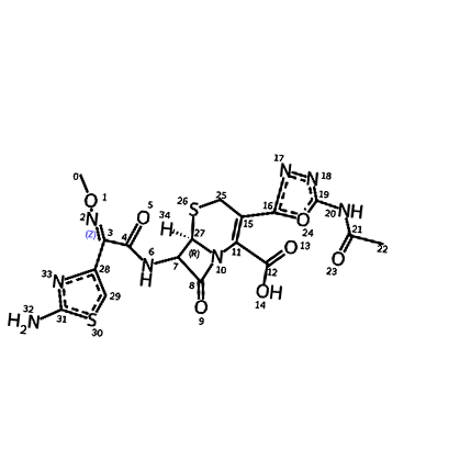 CO/N=C(\C(=O)NC1C(=O)N2C(C(=O)O)=C(c3nnc(NC(C)=O)o3)CS[C@H]12)c1csc(N)n1